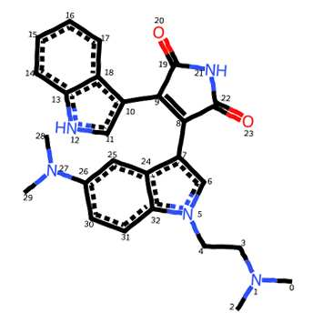 CN(C)CCn1cc(C2=C(c3c[nH]c4ccccc34)C(=O)NC2=O)c2cc(N(C)C)ccc21